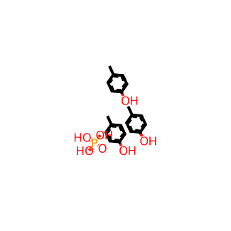 Cc1ccc(O)cc1.Cc1ccc(O)cc1.Cc1ccc(O)cc1.O=P(O)(O)O